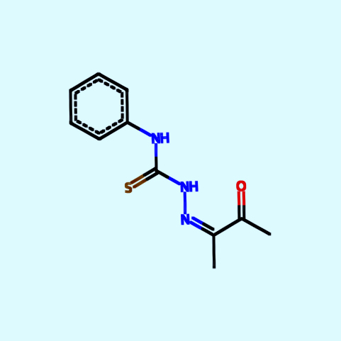 CC(=O)C(C)=NNC(=S)Nc1ccccc1